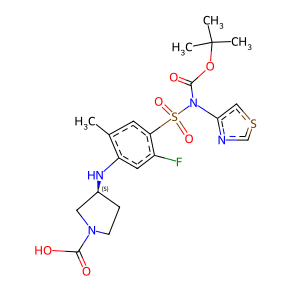 Cc1cc(S(=O)(=O)N(C(=O)OC(C)(C)C)c2cscn2)c(F)cc1N[C@H]1CCN(C(=O)O)C1